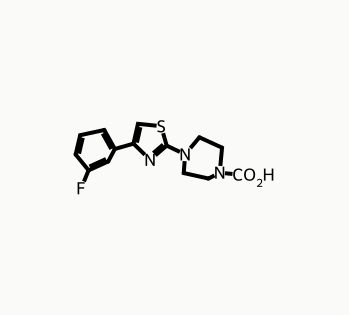 O=C(O)N1CCN(c2nc(-c3cccc(F)c3)cs2)CC1